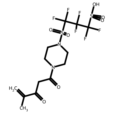 C=C(C)C(=O)CC(=O)N1CCN(S(=O)(=O)C(F)(F)C(F)(F)C(F)(F)S(=O)(=O)O)CC1